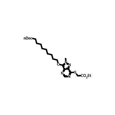 CCCCCCCCCCCCCCCCCCCOc1c2ncnc(SCC(=O)OCC)c2nn1C